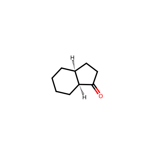 O=C1CC[C@@H]2CCCC[C@H]12